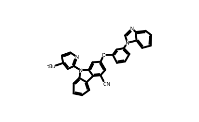 CC(C)(C)c1ccnc(-n2c3ccccc3c3c(C#N)cc(Oc4cccc(-n5cnc6ccccc65)c4)cc32)c1